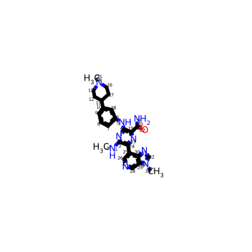 CNc1nc(Nc2cccc(C3CCN(C)CC3)c2)c(C(N)=O)nc1-c1cncc2c1ncn2C